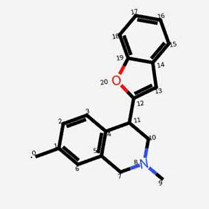 [CH2]c1ccc2c(c1)CN(C)CC2c1cc2ccccc2o1